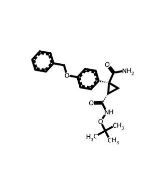 CC(C)(C)ONC(=O)[C@H]1C[C@@]1(C(N)=O)c1ccc(OCc2ccccc2)cc1